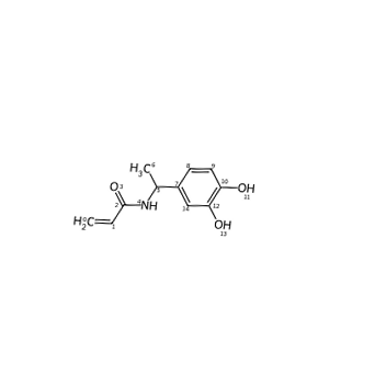 C=CC(=O)NC(C)c1ccc(O)c(O)c1